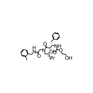 Cc1ccccc1CNC(=O)CN(CSC(C)C)C(=O)[C@@H](O)[C@H](Cc1ccccc1)NC(=O)OCCO